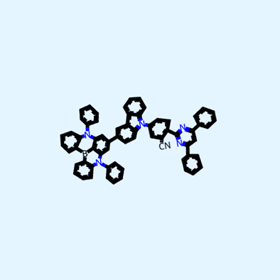 N#Cc1cc(-n2c3ccccc3c3cc(-c4cc5c6c(c4)N(c4ccccc4)c4ccccc4B6c4ccccc4N5c4ccccc4)ccc32)ccc1-c1nc(-c2ccccc2)cc(-c2ccccc2)n1